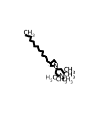 CCCCCCCCCCCCC1[CH]N(C2CC(C)(C)N(C)C(C)(C)C2)CC1